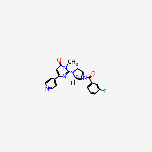 Cn1c(N2CC3C[C@H]2CN3C(=O)c2cccc(F)c2)nc(-c2ccncc2)cc1=O